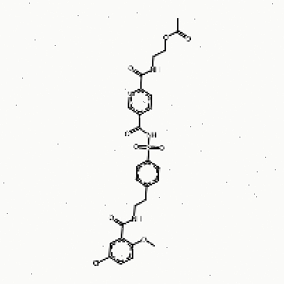 COc1ccc(Cl)cc1C(=O)NCCc1ccc(S(=O)(=O)NC(=O)c2ccc(C(=O)NCCOC(C)=O)nc2)cc1